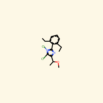 CCc1cccc(CC)c1-c1nc(C(C)OC)c(Cl)n1Cl